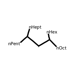 CCCCCCCCC([CH]C(CCCCC)CCCCCCC)CCCCCC